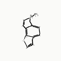 N[SH]1C=Cc2c1ccc1ccoc21